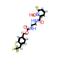 O=C(NCCNC(=O)c1cccc(=S)n1O)OCc1ccc(CC(F)(F)F)cc1